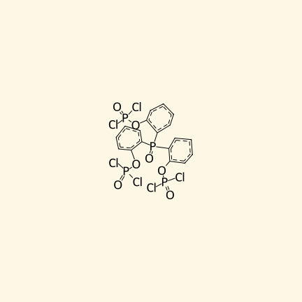 O=P(Cl)(Cl)Oc1ccccc1P(=O)(c1ccccc1OP(=O)(Cl)Cl)c1ccccc1OP(=O)(Cl)Cl